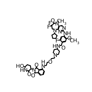 COc1cc(C(=O)NC2CCN(CCOCCNc3cccc4c3C(=O)N(C3CCC(O)NC3=O)C4=O)CC2)c(F)cc1Nc1ncc2c(n1)N(C1CCCC1)CC(F)(F)C(=O)N2C